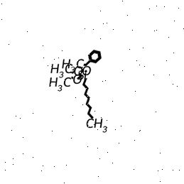 CCCCCCCCCC[Si](OCC)(OCC)OC(C)c1ccccc1